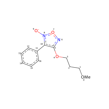 COCCCOc1no[n+]([O-])c1-c1ccccc1